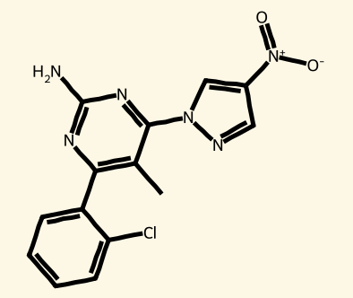 Cc1c(-c2ccccc2Cl)nc(N)nc1-n1cc([N+](=O)[O-])cn1